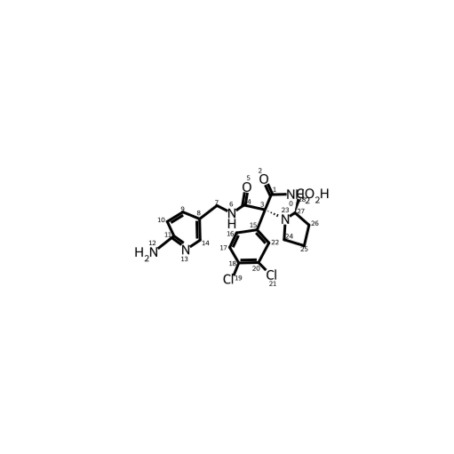 NC(=O)[C@](C(=O)NCc1ccc(N)nc1)(c1ccc(Cl)c(Cl)c1)N1CCC[C@@H]1C(=O)O